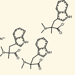 CN(C)C(C)(Cc1c[nH]c2ccccc12)C(=O)[O-].CN(C)C(C)(Cc1c[nH]c2ccccc12)C(=O)[O-].CN(C)C(C)(Cc1c[nH]c2ccccc12)C(=O)[O-].[Al+3]